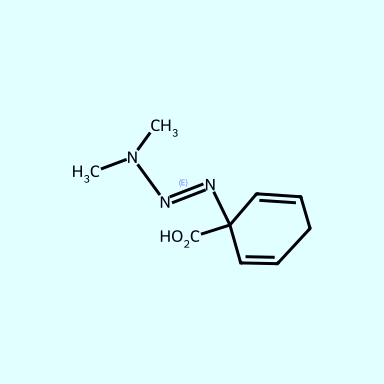 CN(C)/N=N/C1(C(=O)O)C=CCC=C1